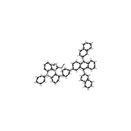 CCc1nc2cccc3c2n1-c1c(-c2ccc(-c4ccc5c(-c6ccc7ccccc7c6)c6ccccc6c(-c6ccc7ccccc7c6)c5c4)cc2)cccc1N3c1ccccc1